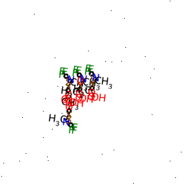 COC(=O)COc1ccc(SCc2sc(-c3ccc(C(F)(F)F)cc3)nc2C)cc1.Cc1cc(SCc2oc(-c3ccc(C(F)(F)F)cc3)nc2C)ccc1OCC(=O)O.Cc1cc(SCc2sc(-c3ccc(C(F)(F)F)cc3)nc2C)ccc1OCC(=O)O.Cc1nc(-c2ccc(C(F)(F)F)cc2)sc1CSc1ccc(OCC(=O)O)cc1